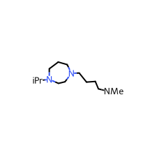 CNCCCCN1CCCN(C(C)C)CC1